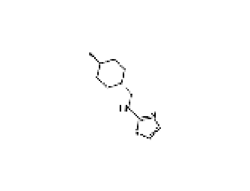 C[C@H]1CC[C@H](CNc2nccs2)CC1